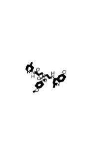 COc1ccc(S(=O)(=O)N(CCNc2cc(C)nc3ccc(Cl)cc23)CCC(=O)Nc2cc(C)ccn2)cc1